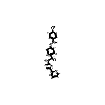 COc1ccc(NSc2ccc(C(=O)Nc3nc(-c4ccccn4)cs3)cc2)cc1